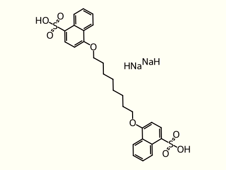 O=S(=O)(O)c1ccc(OCCCCCCCCOc2ccc(S(=O)(=O)O)c3ccccc23)c2ccccc12.[NaH].[NaH]